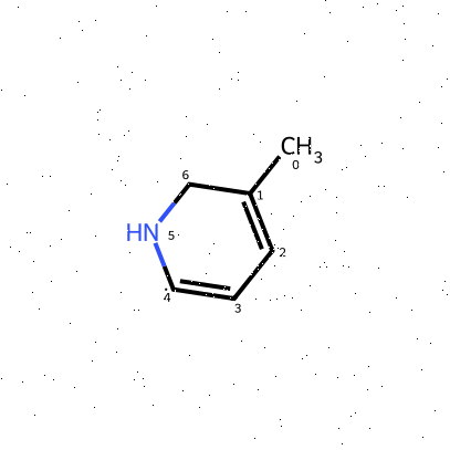 CC1=CC=[C]NC1